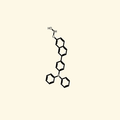 OBOc1ccc2ccc(-c3ccc(N(c4ccccc4)c4ccccc4)cc3)cc2c1